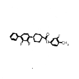 Cc1ccc(OC(=O)C2CCC(c3ccc(-c4ccccc4)c(F)c3F)CC2)cc1F